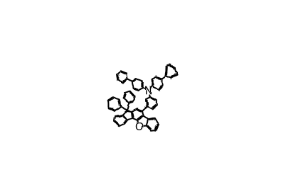 c1ccc(-c2ccc(N(c3ccc(-c4ccccc4)cc3)c3cccc(-c4cc5c(c6oc7ccccc7c46)-c4ccccc4C5(c4ccccc4)c4ccccc4)c3)cc2)cc1